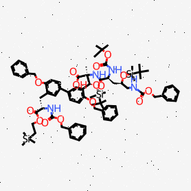 CC(C)(C)OC(=O)N[C@@H](C[C@H](CNC(=O)OCc1ccccc1)O[Si](C)(C)C(C)(C)C)C(=O)N[C@](C)(C(=O)O)[C@H](O[Si](C)(C)C(C)(C)C)c1cc(-c2ccc(OCc3ccccc3)c(C[C@H](NC(=O)OCc3ccccc3)C(=O)OCC[Si](C)(C)C)c2)ccc1OCc1ccccc1